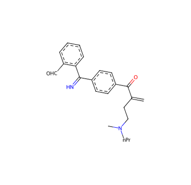 C=C(CCN(C)CCC)C(=O)c1ccc(C(=N)c2ccccc2C=O)cc1